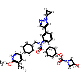 COc1ncc([C@H]2CC[C@H](CN(c3cccc(-c4cnn(C5CC5)c4)c3)C(=O)[C@H]3CC[C@H](OC(=O)N4CC(O)C4)CC3)CC2)cc1C